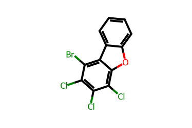 Clc1c(Cl)c(Br)c2c(oc3ccccc32)c1Cl